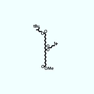 COC(=O)CCCCCCCCC(CCCCCCCCC(=O)OCCC(C)CC(C)(C)C)OC(=O)CCCN(C)C